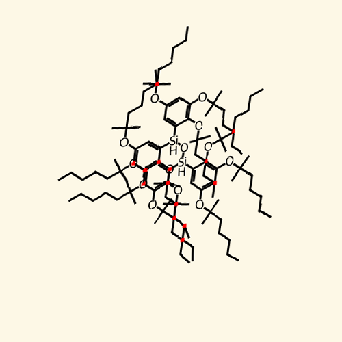 CCCCCC(C)(C)Oc1cc(OC(C)(C)CCCCC)c(OC(C)(C)CCCCC)c([SiH](O[SiH](c2cc(OC(C)(C)CCCCC)cc(OC(C)(C)CCCCC)c2OC(C)(C)CCCCC)c2cc(OC(C)(C)CCCCC)cc(OC(C)(C)CCCCC)c2OC(C)(C)CCCCC)c2cc(OC(C)(C)CCCCC)cc(OC(C)(C)CCCCC)c2OC(C)(C)CCCCC)c1